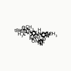 COc1ncc2c(N3C[C@@H](C)N(C(=O)OC(C)(C)C)[C@@H](C)C3)ccc(C(=O)Nc3cc(Oc4ccnnc4)c4nn(C)cc4c3)c2n1